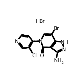 Br.Nc1n[nH]c2c(Br)cn(-c3ccncc3Cl)c(=O)c12